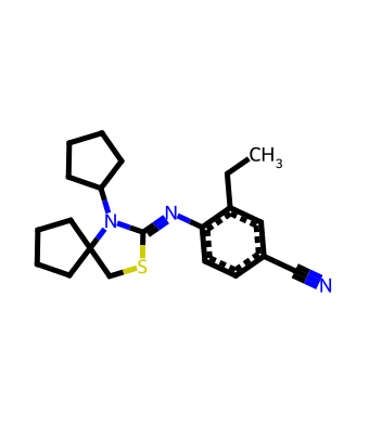 CCc1cc(C#N)ccc1N=C1SCC2(CCCC2)N1C1CCCC1